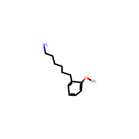 COc1ccccc1CCCCCCN